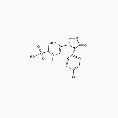 NS(=O)(=O)c1ccc(-c2coc(=O)n2-c2ccc(Cl)cc2)cc1F